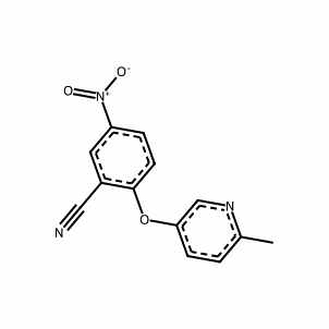 Cc1ccc(Oc2ccc([N+](=O)[O-])cc2C#N)cn1